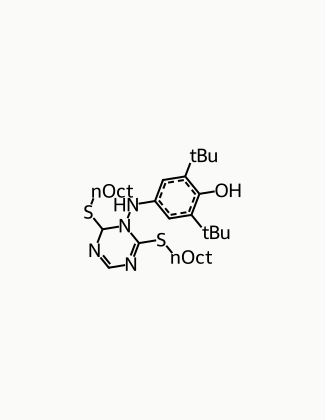 CCCCCCCCSC1=NC=NC(SCCCCCCCC)N1Nc1cc(C(C)(C)C)c(O)c(C(C)(C)C)c1